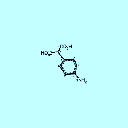 Nc1ccc([C@H](C(=O)O)S(=O)(=O)O)cc1